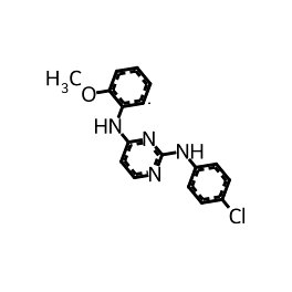 COc1ccc[c]c1Nc1ccnc(Nc2ccc(Cl)cc2)n1